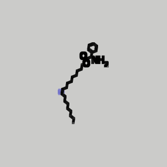 CCCCCCCC/C=C\CCCCCCCCOC(=O)C(N)c1ccccc1